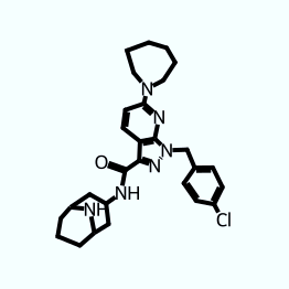 O=C(NC1CC2CCCC(C1)N2)c1nn(Cc2ccc(Cl)cc2)c2nc(N3CCCCCC3)ccc12